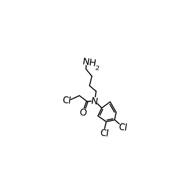 NCCCCN(C(=O)CCl)c1ccc(Cl)c(Cl)c1